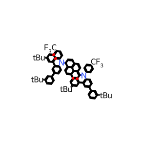 CC(C)(C)c1cccc(-c2ccc(N(C3=C4C=CC5=C6C(=CC=C(C=C3)C46)C(N(c3ccc(C(F)(F)F)cc3)c3ccc(-c4cccc(C(C)(C)C)c4)cc3-c3cccc(C(C)(C)C)c3)C=C5)c3ccc(C(F)(F)F)cc3)c(-c3cccc(C(C)(C)C)c3)c2)c1